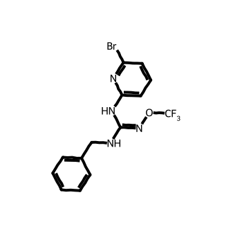 FC(F)(F)ON=C(NCc1ccccc1)Nc1cccc(Br)n1